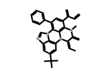 C=CC(=C)c1cc(-c2ccccc2)c2c3c1N(C)C(=C)/C(=C\C)B3c1cc(C(C)(C)C)cc3ncn-2c13